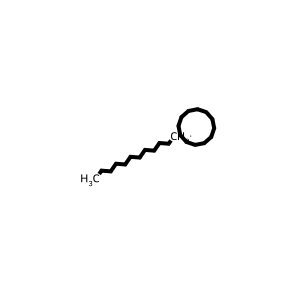 [CH2]CCCCCCCCCCC.[CH]1CCCCCCCCCCC1